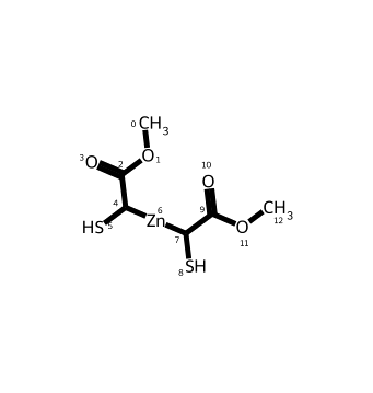 COC(=O)[CH](S)[Zn][CH](S)C(=O)OC